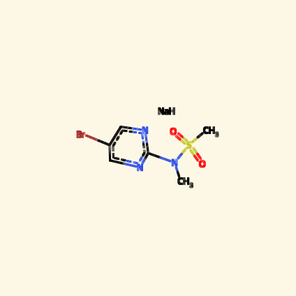 CN(c1ncc(Br)cn1)S(C)(=O)=O.[NaH]